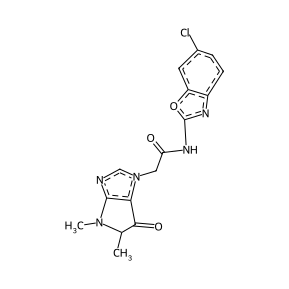 CC1C(=O)c2c(ncn2CC(=O)Nc2nc3ccc(Cl)cc3o2)N1C